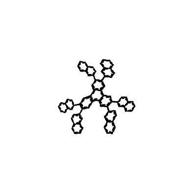 c1ccc2cc(-c3cc4c5cc(-c6ccc7ccccc7c6)c(-c6ccc7ccccc7c6)cc5c5cc(-c6ccc7ccccc7c6)c(-c6ccc7ccccc7c6)cc5c4cc3-c3ccc4ccccc4c3)ccc2c1